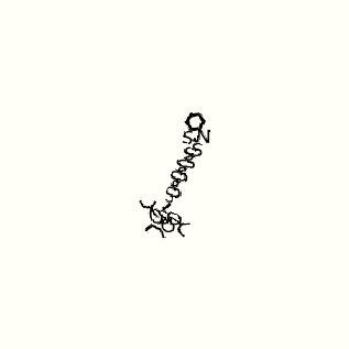 CCC(C)O[Si](CCSSSSSSSSc1nc2ccccc2s1)(OC(C)CC)OC(C)CC